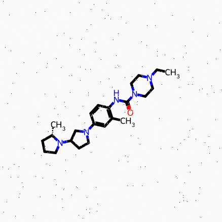 CCN1CCN(C(=O)Nc2ccc(N3CCC(N4CCC[C@@H]4C)C3)cc2C)CC1